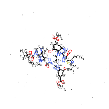 CCc1nc(C)sc1C(=O)Nc1nc2cc(C(=O)OC)cc(OCCCN3CCN(C(=O)OC(C)(C)C)CC3)c2n1C/C=C/Cn1c(NC(=O)c2cc(C)nn2CC)nc2cc(C(=O)OC)cc(OC)c21